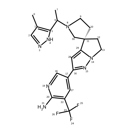 Cc1cn[nH]c1C(C)N1CC[C@@]2(CCn3nc(-c4cnc(N)c(C(F)(F)F)c4)cc32)C1